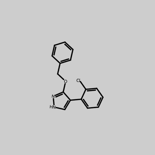 Clc1ccccc1-c1c[nH]nc1OCc1ccccc1